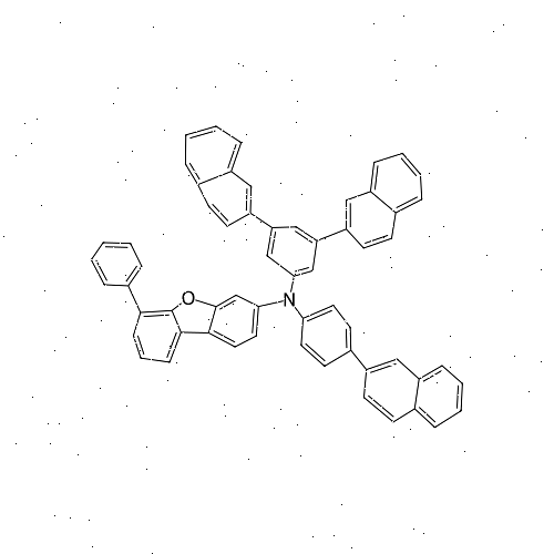 c1ccc(-c2cccc3c2oc2cc(N(c4ccc(-c5ccc6ccccc6c5)cc4)c4cc(-c5ccc6ccccc6c5)cc(-c5ccc6ccccc6c5)c4)ccc23)cc1